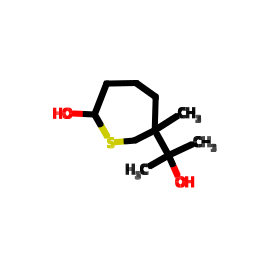 CC(C)(O)C1(C)CCCC(O)SC1